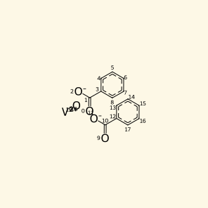 O=C([O-])c1ccccc1.O=C([O-])c1ccccc1.[O]=[V+2]